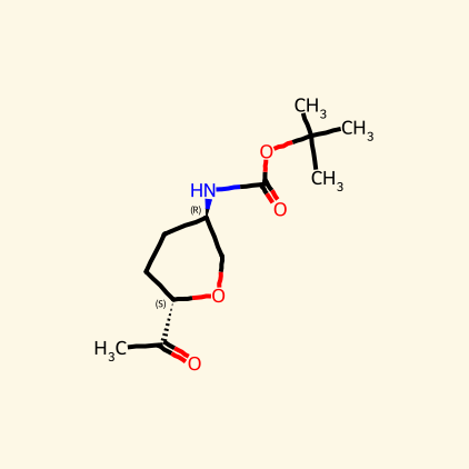 CC(=O)[C@@H]1CC[C@@H](NC(=O)OC(C)(C)C)CO1